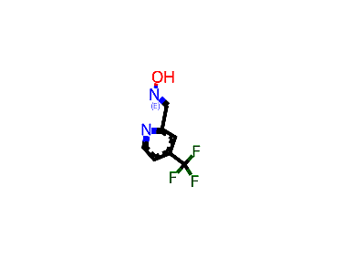 O/N=C/c1cc(C(F)(F)F)ccn1